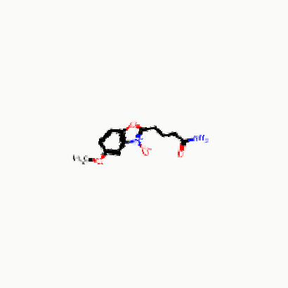 COc1ccc2oc(CCCC(N)=O)[n+]([O-])c2c1